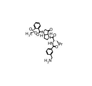 CC(C)C[C@H](NC(=O)c1cccc(CN)c1)C(=O)N1CC[C@@H]2[C@H]1C(=O)CN2C(=O)c1ccccc1S(C)(=O)=O